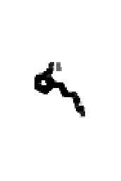 Cn1cccc1CCN=C=S